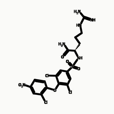 N=C(N)NCCC[C@H](NS(=O)(=O)c1cc(Cl)c(Oc2ccc([N+](=O)[O-])cc2Cl)c(Cl)c1)C(N)=O